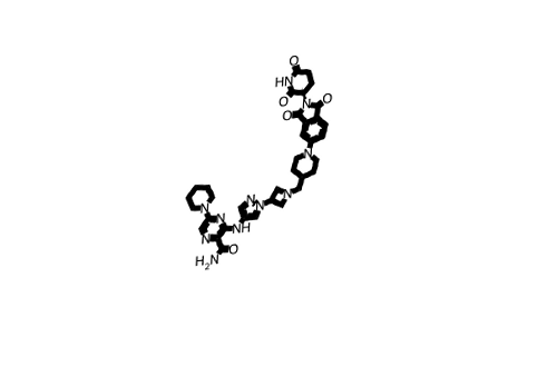 NC(=O)c1ncc(N2CCCCC2)nc1Nc1cnn(C2CN(CC3CCN(c4ccc5c(c4)C(=O)N([C@@H]4CCC(=O)NC4=O)C5=O)CC3)C2)c1